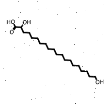 O=C(O)C(O)CCCCCCCCCCCCCCCCCCO